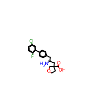 N[C@@H](Cc1ccc(-c2cc(Cl)ccc2F)cc1)CC1(C(=O)O)CCOC1